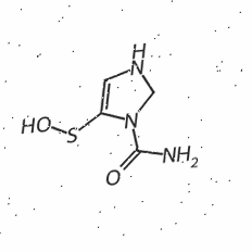 NC(=O)N1CNC=C1SO